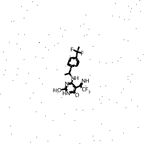 CC(Nc1nc(O)[nH]c(=O)c1C(=N)C(F)(F)F)c1ccc(C(C)(F)F)cc1